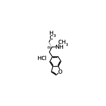 CC[C@@H](Cc1ccc2occc2c1)NC.Cl